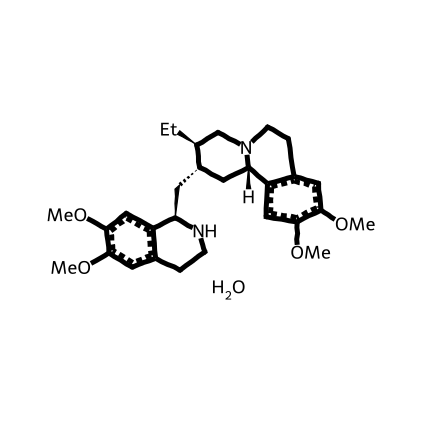 CC[C@H]1CN2CCc3cc(OC)c(OC)cc3[C@@H]2C[C@@H]1C[C@H]1NCCc2cc(OC)c(OC)cc21.O